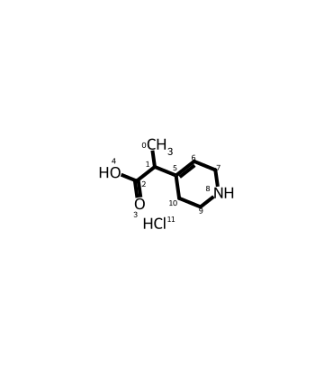 CC(C(=O)O)C1=CCNCC1.Cl